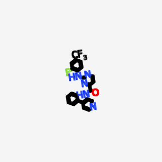 O=C(Nc1cnccc1-c1ccccc1)c1ccnc(Nc2ccc(C(F)(F)F)cc2F)n1